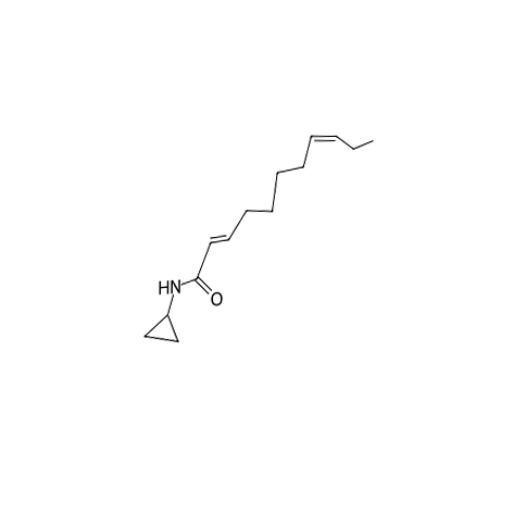 CC/C=C\CCCC/C=C/C(=O)NC1CC1